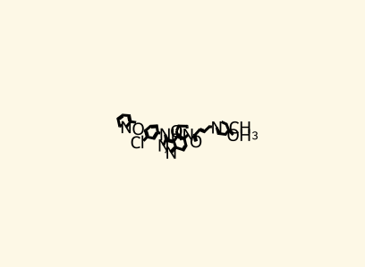 CC1(O)CCN(C/C=C/C(=O)N2CCOc3c2ccc2ncnc(Nc4ccc(OCc5ccccn5)c(Cl)c4)c32)CC1